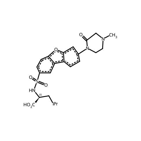 CC(C)C[C@H](NS(=O)(=O)c1ccc2oc3cc(N4CCN(C)CC4=O)ccc3c2c1)C(=O)O